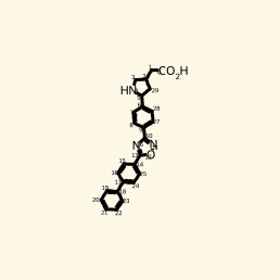 O=C(O)CC1CNC(c2ccc(-c3noc(-c4ccc(-c5ccccc5)cc4)n3)cc2)C1